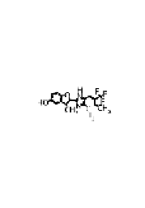 C=C/C(=C\c1[nH]c(C2Oc3ccc(O)cc3C2C)nc1C)C(F)(F)F